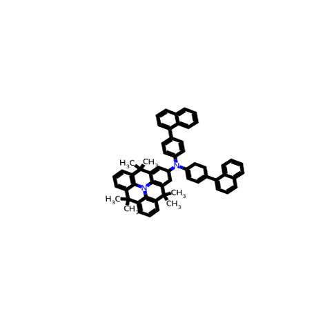 CC1(C)C2=CC(N(C3=CC=C(c4cccc5ccccc45)CC3)c3ccc(-c4cccc5ccccc45)cc3)CC3=C2N2c4c1cccc4C(C)(C)c1cccc(c12)C3(C)C